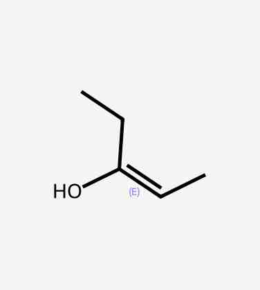 C/C=C(/O)CC